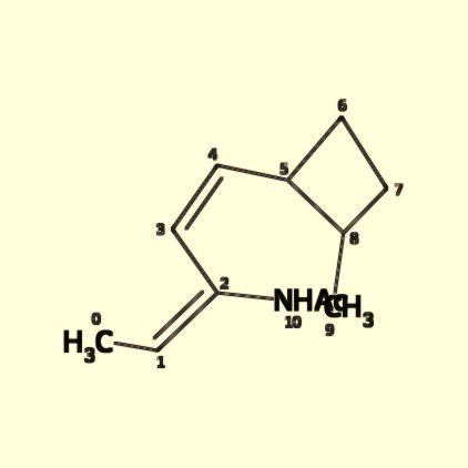 C/C=C(\C=C/C1CCC1C)NC(C)=O